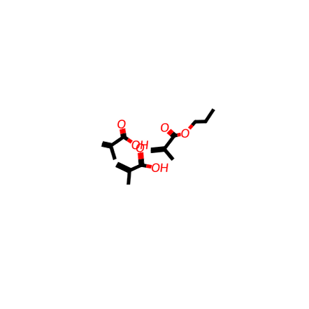 C=C(C)C(=O)O.C=C(C)C(=O)O.C=C(C)C(=O)OCCC